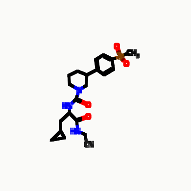 CS(=O)(=O)c1ccc(C2CCCN(C(=O)NC(CC3CC3)C(=O)NCC#N)C2)cc1